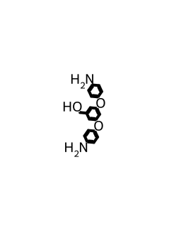 Nc1ccc(Oc2cc(CO)cc(Oc3ccc(N)cc3)c2)cc1